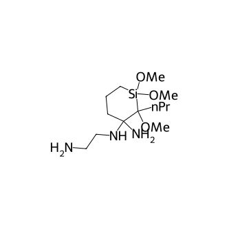 CCCC1(OC)C(N)(NCCN)CCC[Si]1(OC)OC